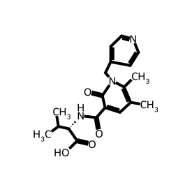 Cc1cc(C(=O)N[C@H](C(=O)O)C(C)C)c(=O)n(Cc2ccncc2)c1C